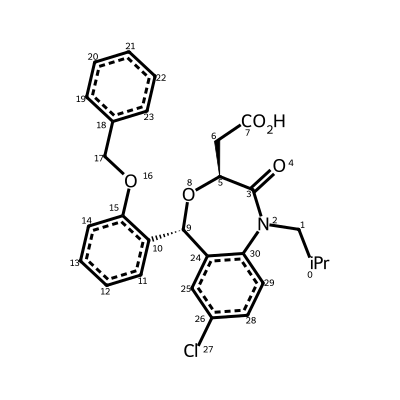 CC(C)CN1C(=O)[C@H](CC(=O)O)O[C@@H](c2ccccc2OCc2ccccc2)c2cc(Cl)ccc21